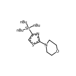 CCC[CH2][Sn]([CH2]CCC)([CH2]CCC)[c]1csc(N2CCOCC2)n1